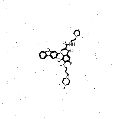 CN1CCN(CCCNc2c(F)cc3c(=O)c(C(=O)NCCN4CCCC4)cn4c3c2Oc2cc3c(cc2-4)oc2ccccc23)CC1